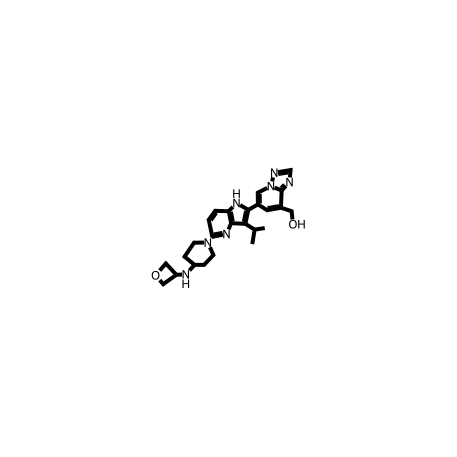 CC(C)c1c(-c2cc(CO)c3ncnn3c2)[nH]c2ccc(N3CCC(NC4COC4)CC3)nc12